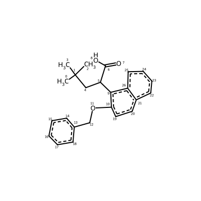 CC(C)(C)CC(C(=O)O)c1c(OCc2ccccc2)ccc2ccccc12